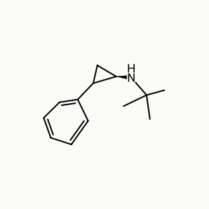 CC(C)(C)N[C@@H]1CC1c1ccccc1